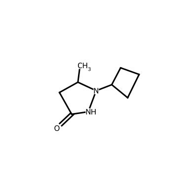 CC1CC(=O)NN1C1CCC1